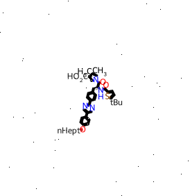 CCCCCCCOc1ccc(-c2cnc(-c3ccc(C[C@H](NC(=O)c4ccc(C(C)(C)C)s4)C(=O)N4CC(C(=O)O)C(C)(C)C4)cc3)nc2)cc1